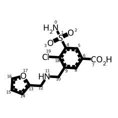 NS(=O)(=O)c1cc(C(=O)O)cc(CNCc2ccco2)c1Cl